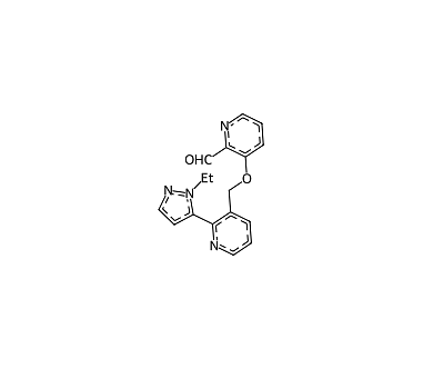 CCn1nccc1-c1ncccc1COc1cccnc1C=O